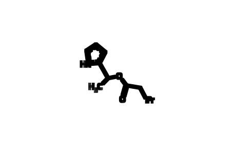 CC(C)CC(=O)OC(C)c1ccc[nH]1